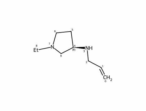 C=CCN[C@@H]1CCN(CC)C1